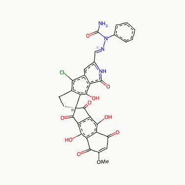 COC1=CC(=O)c2c(O)c3c(c(O)c2C1=O)C(=O)[C@]1(CCc2c1c(O)c1c(=O)[nH]c(/C=N/N(C(N)=O)c4ccccc4)cc1c2Cl)C3=O